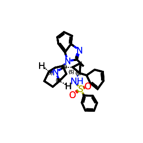 Cc1nc2ccccc2n1[C@H]1C[C@H]2CC[C@@H](C1)N2C[C@@H]1C[C@@]1(NS(=O)(=O)c1ccccc1)C1C=CC=CC1